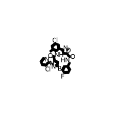 Cc1cc(Cl)cc(C2=NOC(C(=O)NCc3ccc(F)cc3)C2)c1NC(=O)c1cc(Br)nn1-c1ncccc1Cl